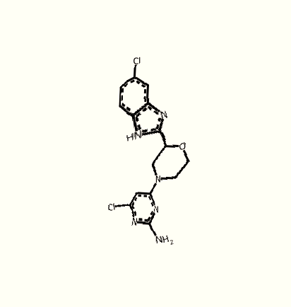 Nc1nc(Cl)cc(N2CCOC(c3nc4cc(Cl)ccc4[nH]3)C2)n1